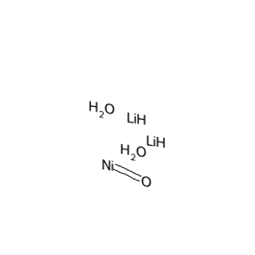 O.O.[LiH].[LiH].[O]=[Ni]